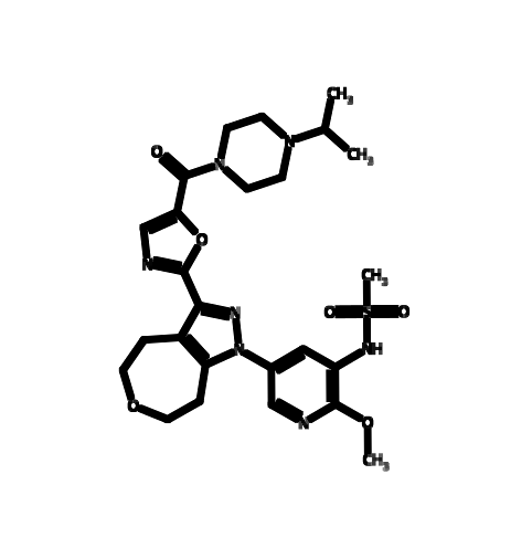 COc1ncc(-n2nc(-c3ncc(C(=O)N4CCN(C(C)C)CC4)o3)c3c2CCOCC3)cc1NS(C)(=O)=O